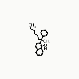 CCCCCCC(C)(c1ccccc1)c1ccc2ccccc2c1O